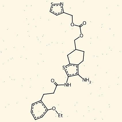 CCOc1ccccc1CCC(=O)Nc1sc2c(c1N)CCC(COC(=O)OCc1ccsn1)C2